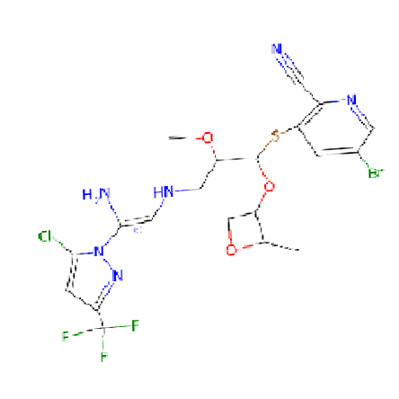 COC(CN/C=C(\N)n1nc(C(F)(F)F)cc1Cl)C(OC1COC1C)Sc1cc(Br)cnc1C#N